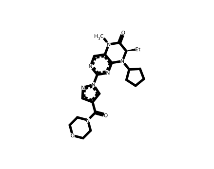 CC[C@@H]1C(=O)N(C)c2cnc(-n3cc(C(=O)N4CCOCC4)cn3)nc2N1C1CCCC1